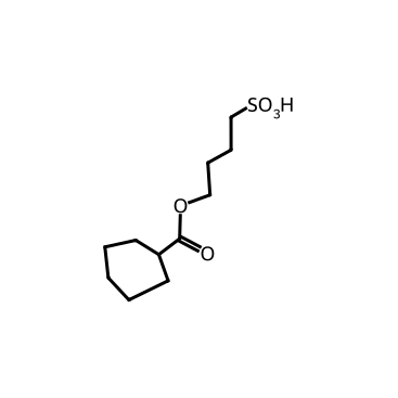 O=C(OCCCCS(=O)(=O)O)C1CCCCC1